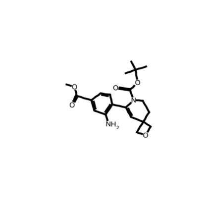 COC(=O)c1ccc(C2=CC3(CCN2C(=O)OC(C)(C)C)COC3)c(N)c1